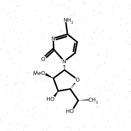 CO[C@@H]1[C@H](O)[C@@H]([C@H](C)O)O[C@H]1n1ccc(N)nc1=O